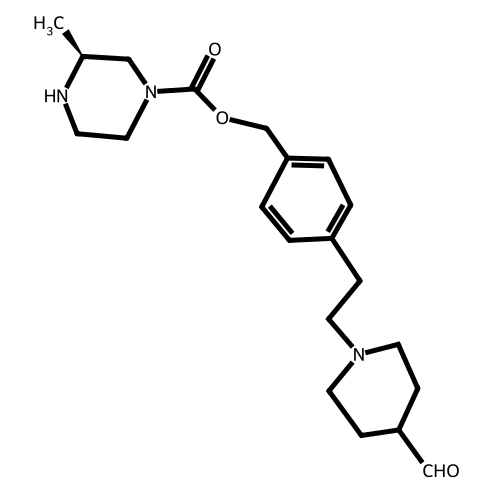 C[C@H]1CN(C(=O)OCc2ccc(CCN3CCC(C=O)CC3)cc2)CCN1